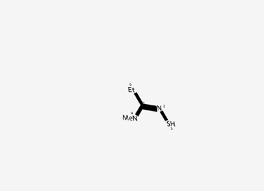 CC/C(=N/S)NC